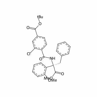 COC(=O)[C@](Cc1ccccc1)(NC(=O)c1ccc(C(=O)OC(C)(C)C)cc1Cl)c1ccccc1OC